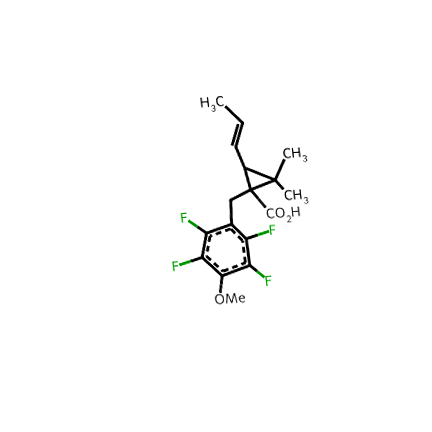 CC=CC1C(C)(C)C1(Cc1c(F)c(F)c(OC)c(F)c1F)C(=O)O